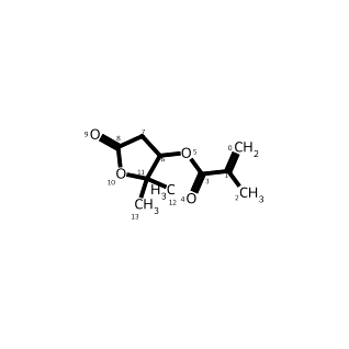 C=C(C)C(=O)OC1CC(=O)OC1(C)C